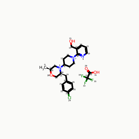 C[C@H]1CN(C2CCN(c3ncccc3CO)CC2)[C@@H](Cc2ccc(Cl)cc2)CO1.O=C(O)C(F)(F)F